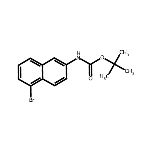 CC(C)(C)OC(=O)Nc1ccc2c(Br)cccc2c1